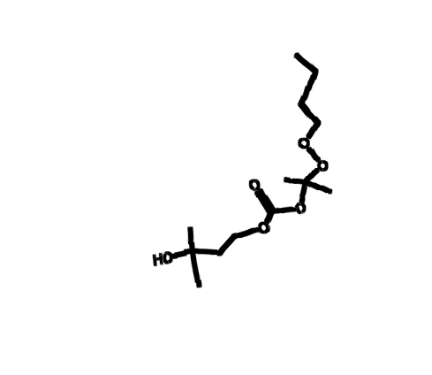 CCCCOOC(C)(C)OC(=O)OCCC(C)(C)O